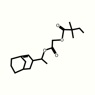 CCC(C)(C)C(=O)OCC(=O)OC(C)C1C=C2CCCC(C2)C1